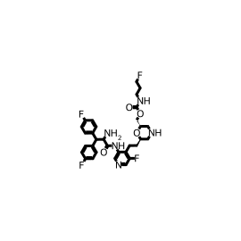 NC(C(=O)Nc1cncc(F)c1CC[C@@H]1CNC[C@@H](COC(=O)NCCCF)O1)C(c1ccc(F)cc1)c1ccc(F)cc1